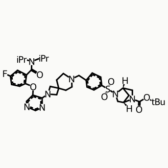 CC(C)N(C(=O)c1cc(F)ccc1Oc1cncnc1N1CC2(CCN(Cc3ccc(S(=O)(=O)N4C[C@@H]5C[C@H]4CN5C(=O)OC(C)(C)C)cc3)CC2)C1)C(C)C